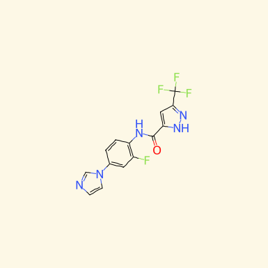 O=C(Nc1ccc(-n2ccnc2)cc1F)c1cc(C(F)(F)F)n[nH]1